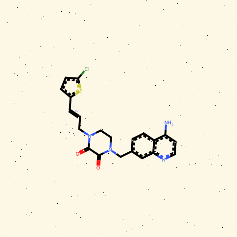 Nc1ccnc2cc(CN3CCN(C/C=C/c4ccc(Cl)s4)C(=O)C3=O)ccc12